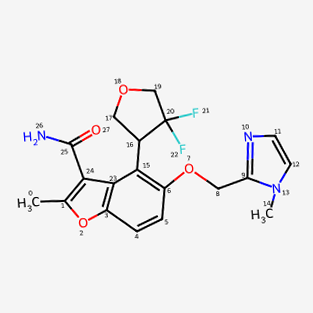 Cc1oc2ccc(OCc3nccn3C)c(C3COCC3(F)F)c2c1C(N)=O